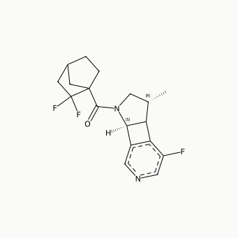 C[C@H]1CN(C(=O)C23CCC(CC2(F)F)C3)[C@@H]2c3cncc(F)c3C21